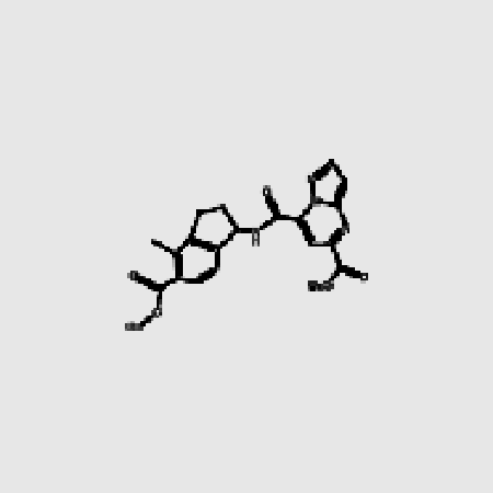 COC(=O)c1cc(C(=O)NC2CCc3c2ccc(C(=O)OC(C)(C)C)c3C)n2nccc2n1